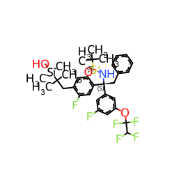 CC(C)(C)[S@@+]([O-])N[C@](Cc1ccccc1)(c1cc(F)cc(OC(F)(F)C(F)F)c1)c1ccc(CC(C)(C)[Si](C)(C)O)c(F)c1